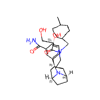 CC1CCC(CN(CCN2[C@@H]3CC[C@H]2C[C@@H](c2cccc(C(N)=O)c2)C3)C(=O)[C@@H](O)CO)CC1